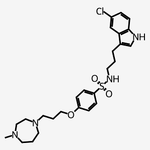 CN1CCCN(CCCOc2ccc(S(=O)(=O)NCCCc3c[nH]c4ccc(Cl)cc34)cc2)CC1